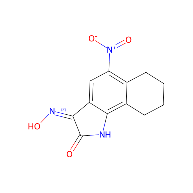 O=C1Nc2c(cc([N+](=O)[O-])c3c2CCCC3)/C1=N/O